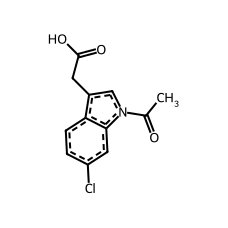 CC(=O)n1cc(CC(=O)O)c2ccc(Cl)cc21